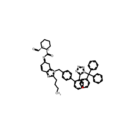 CCCCc1nc2c(n1Cc1ccc(-c3ccccc3-c3nnnn3C(c3ccccc3)(c3ccccc3)c3ccccc3)cc1)CC(=NC(=O)[C@@H]1CCCC[C@@H]1C=O)C=C2